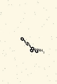 Nc1cccc(-c2ccc(CCN3CCN(CCc4ccccc4)CC3)c3ccccc23)n1